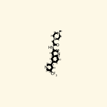 CN1CCN(CC(=O)Nc2cc3cc(-c4cncc(C(F)(F)F)c4)ccc3nn2)CC1